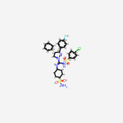 NS(=O)(=O)C1CCC(/N=C(\NS(=O)(=O)c2ccc(Cl)cc2)N2C[C@H](c3ccccc3)C(c3ccc(F)cc3)=N2)CC1